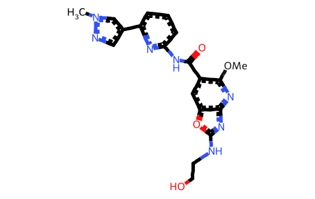 COc1nc2nc(NCCO)oc2cc1C(=O)Nc1cccc(-c2cnn(C)c2)n1